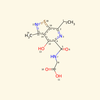 CCc1nc(C(=O)NCC(=O)O)c(O)c2c(C)nsc12